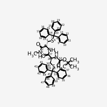 CNC(=O)[C@H](CSC(c1ccccc1)(c1ccccc1)c1ccccc1)NC(=O)[C@H](CSC(c1ccccc1)(c1ccccc1)c1ccccc1)NC(=O)OC(C)(C)C